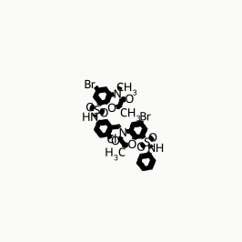 CC1Oc2c(cc(Br)cc2S(=O)(=O)Nc2ccc(Cl)c(CN3C(=O)C(C)Oc4c3cc(Br)cc4S(=O)(=O)Nc3ccccc3)c2)N(C)C1=O